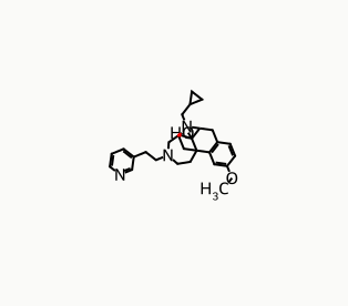 COc1ccc2c(c1)C13CCN(CCc4cccnc4)CCC1(O)C(C2)N(CC1CC1)CC3